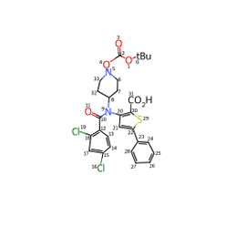 CC(C)(C)OC(=O)ON1CCC(N(C(=O)c2ccc(Cl)cc2Cl)c2cc(-c3ccccc3)sc2C(=O)O)CC1